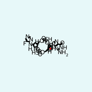 Nc1nc2c(ncn2[C@@H]2O[C@@H]3CO[P@@](=O)(S)O[C@H]4C[C@H](Nc5ncncc5F)C[C@@H]4CO[P@@](=O)(S)O[C@@H]2[C@@H]3O)c(=O)[nH]1